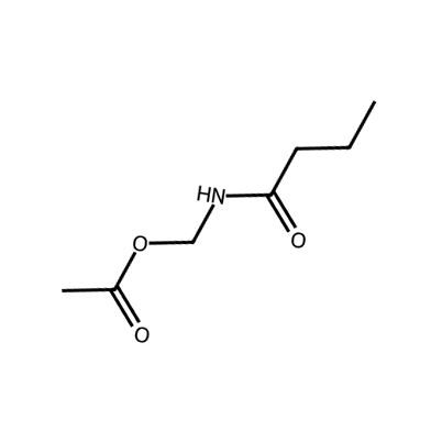 CCCC(=O)NCOC(C)=O